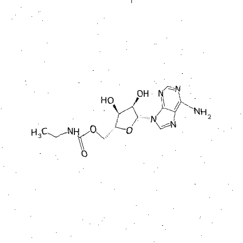 CCNC(=O)OC[C@H]1O[C@@H](n2cnc3c(N)ncnc32)[C@H](O)[C@@H]1O